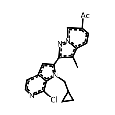 CC(=O)c1ccc2c(C)c(-c3cc4ccnc(Cl)c4n3CC3CC3)nn2c1